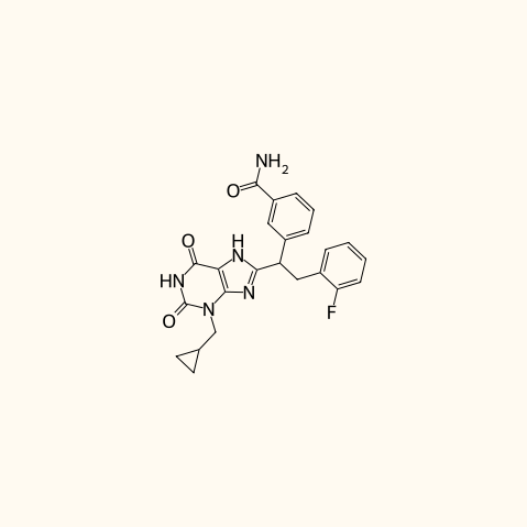 NC(=O)c1cccc(C(Cc2ccccc2F)c2nc3c([nH]2)c(=O)[nH]c(=O)n3CC2CC2)c1